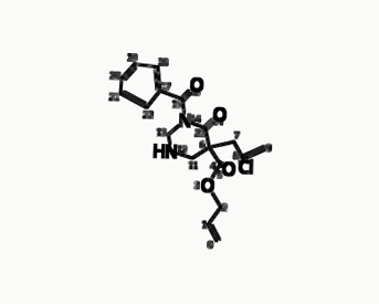 C=CCOC(=O)C1(CC(=C)Cl)CNCN(C(=O)c2ccccc2)C1=O